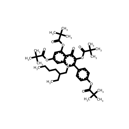 CCCCC(CC)Cn1c(-c2ccc(OC(=O)C(C)(C)C)cc2)c(OC(=O)C(C)(C)C)c(=O)c2c(OC(=O)C(C)(C)C)cc(OC(=O)C(C)(C)C)cc21